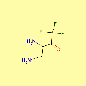 NCC(N)C(=O)C(F)(F)F